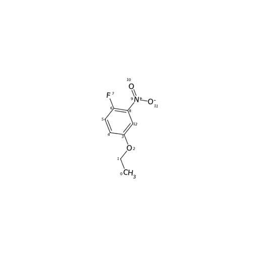 CCOc1ccc(F)c([N+](=O)[O-])c1